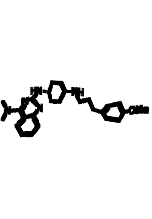 COc1ccc(CCCN[C@H]2CC[C@@H](Nc3nc(N(C)C)c4ccccc4n3)CC2)cc1